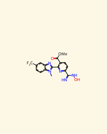 COC(=O)c1ccc(C(=N)NO)nc1-c1nc2cc(C(F)(F)F)ccc2n1C